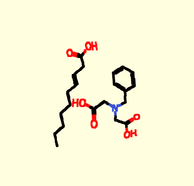 CCCCCCC=CCC(=O)O.O=C(O)CN(CC(=O)O)Cc1ccccc1